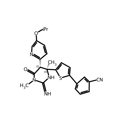 CC(C)Oc1ccc([C@H]2C(=O)N(C)C(=N)N[C@]2(C)c2ccc(-c3cccc(C#N)c3)s2)nc1